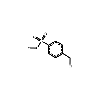 CCOS(=O)(=O)c1ccc(CO)cc1